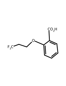 O=C(O)c1ccccc1OCCC(F)(F)F